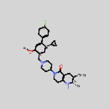 CCOC1C=C(C2=CC[C@H](F)CC2)[C@@H](C2CC2)C[C@H]1CN1CCC(N2CCC3=C(CC(C=O)[C@H](C(C)C)N3)C2=O)CC1